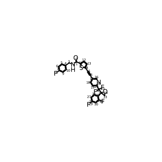 O=C(NCc1ccc(F)cc1)c1ccc(C#Cc2ccc(C(F)(F)C3(c4ccc(F)cc4F)CO3)nc2)s1